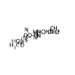 CC(O)C(=O)N1CC[C@H](Oc2ccc(-c3ncnc(Nc4ccc(N5CCN(C6COC6)[C@H](C)C5)cc4)n3)cc2C#N)C(F)(F)C1